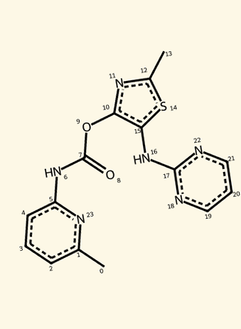 Cc1cccc(NC(=O)Oc2nc(C)sc2Nc2ncccn2)n1